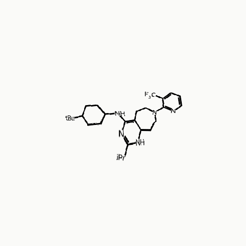 CC(C)C1=NC(NC2CCC(C(C)(C)C)CC2)=C2CCN(c3ncccc3C(F)(F)F)CCC2N1